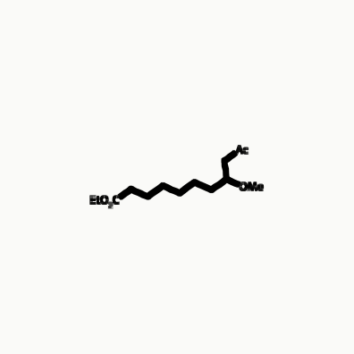 CCOC(=O)CCCCCCC(CC(C)=O)OC